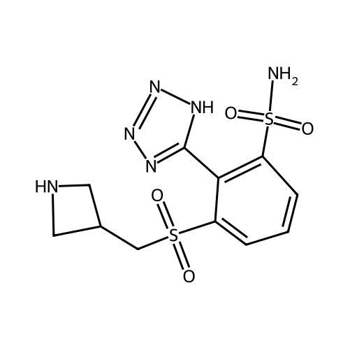 NS(=O)(=O)c1cccc(S(=O)(=O)CC2CNC2)c1-c1nnn[nH]1